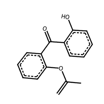 C=C(C)Oc1ccccc1C(=O)c1ccccc1O